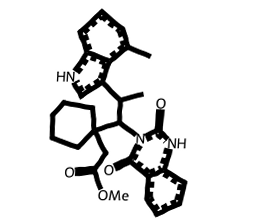 COC(=O)CC1(C(C(C)c2c[nH]c3cccc(C)c23)n2c(=O)[nH]c3ccccc3c2=O)CCCCC1